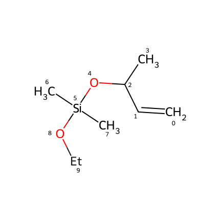 C=CC(C)O[Si](C)(C)OCC